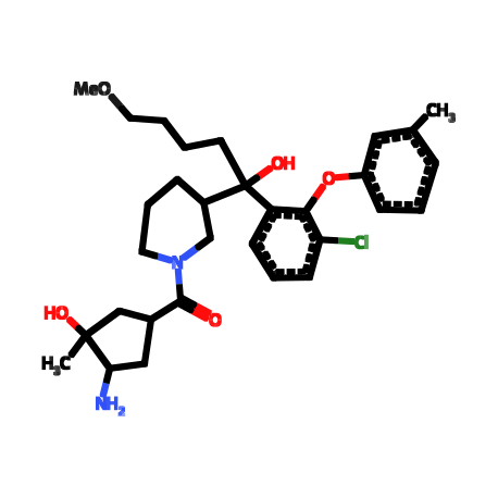 COCCCCC(O)(c1cccc(Cl)c1Oc1cccc(C)c1)C1CCCN(C(=O)C2CC(N)C(C)(O)C2)C1